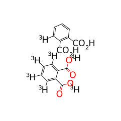 [3H]OC(=O)c1c([3H])c([3H])c([3H])c([3H])c1C(=O)O[3H].[3H]c1cccc(C(=O)O)c1C(=O)O